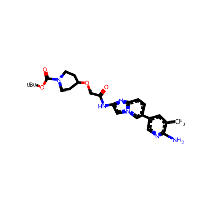 CC(C)(C)OC(=O)N1CCC(OCC(=O)Nc2cn3cc(-c4cnc(N)c(C(F)(F)F)c4)ccc3n2)CC1